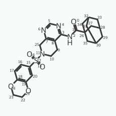 O=C(Nc1ncnc2c1CCN(S(=O)(=O)c1ccc3c(c1)OCCO3)C2)C12CC3CC(CC(C3)C1)C2